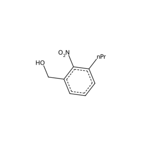 CCCc1cccc(CO)c1[N+](=O)[O-]